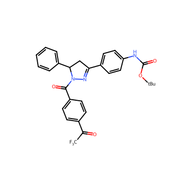 CC(C)(C)OC(=O)Nc1ccc(C2=NN(C(=O)c3ccc(C(=O)C(F)(F)F)cc3)C(c3ccccc3)C2)cc1